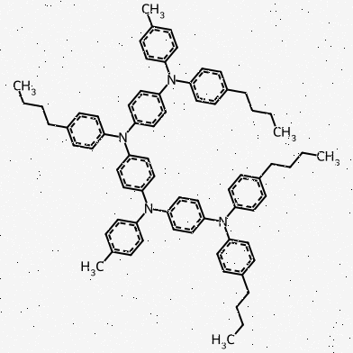 CCCCc1ccc(N(c2ccc(C)cc2)c2ccc(N(c3ccc(CCCC)cc3)c3ccc(N(c4ccc(C)cc4)c4ccc(N(c5ccc(CCCC)cc5)c5ccc(CCCC)cc5)cc4)cc3)cc2)cc1